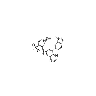 Cn1ccc2ccc(-c3cc(Nc4c[n+](O)ccc4S(C)(=O)=O)cc4nccnc34)cc21